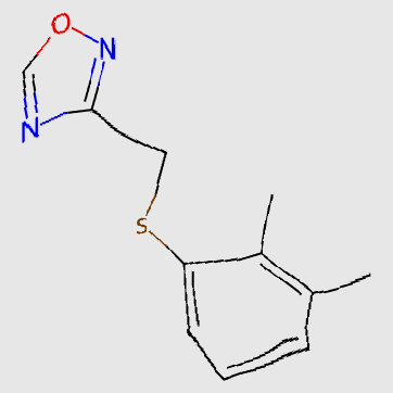 Cc1cccc(SCc2ncon2)c1C